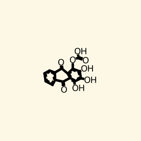 O=C(O)Oc1c(O)c(O)c(O)c2c1C(=O)c1ccccc1C2=O